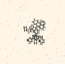 CC1(C)C2=CC3=C(C=CCC3)C(c3cccc4ccccc34)C2c2ccc(C3N=C(c4ccccc4)NC(c4ccccc4)N3)cc21